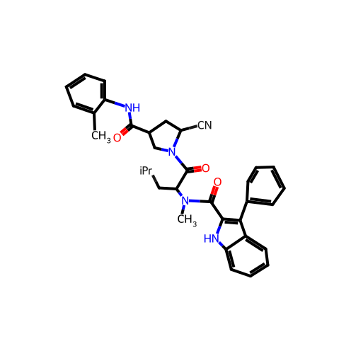 Cc1ccccc1NC(=O)C1CC(C#N)N(C(=O)C(CC(C)C)N(C)C(=O)c2[nH]c3ccccc3c2-c2ccccc2)C1